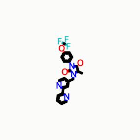 CC1C(=O)N(c2ccc(OC(F)(F)F)cc2)C(=O)N1Cc1ccnc(-c2ccccn2)c1